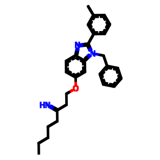 CCCCCC(=N)CCOc1ccc2nc(-c3cccc(C)c3)n(Cc3ccccc3)c2c1